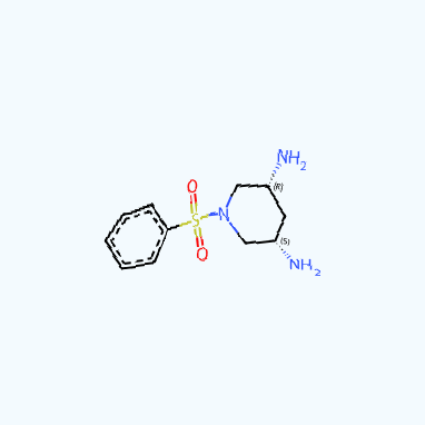 N[C@@H]1C[C@H](N)CN(S(=O)(=O)c2ccccc2)C1